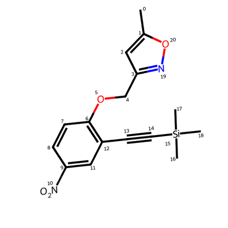 Cc1cc(COc2ccc([N+](=O)[O-])cc2C#C[Si](C)(C)C)no1